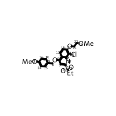 CCS(=O)(=O)c1cc(OCc2ccc(OC)cc2)c2ccc(OCCOC)c(Cl)c2n1